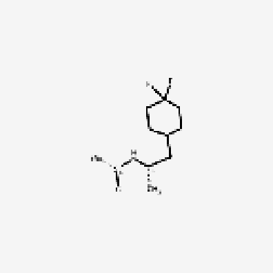 C[C@@H](CC1CCC(F)(F)CC1)N[S@+]([O-])C(C)(C)C